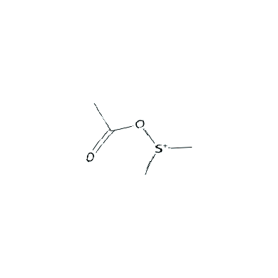 CC(=O)O[S+](C)C